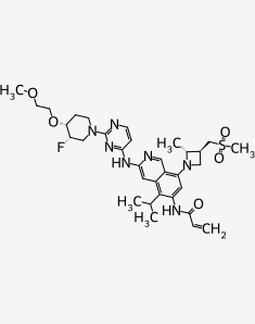 C=CC(=O)Nc1cc(N2C[C@H](CS(C)(=O)=O)[C@H]2C)c2cnc(Nc3ccnc(N4CC[C@@H](OCCOC)[C@@H](F)C4)n3)cc2c1C(C)C